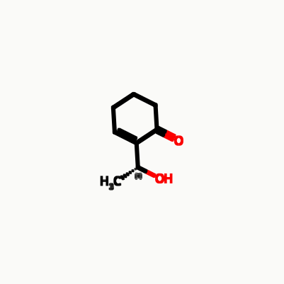 C[C@@H](O)C1=CCCCC1=O